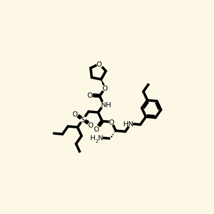 CCCC(CCC)S(=O)(=O)CC(NC(=O)O[C@H]1CCOC1)C(=O)O[C@@H](CN)CNCc1cccc(CC)c1